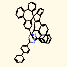 c1ccc(-c2ccc(-c3nc(-c4ccccc4)nc(-c4ccc5c(c4)C4(c6ccccc6-c6ccccc6-5)c5ccccc5-c5c4cc4ccc6cccc7ccc5c4c67)n3)cc2)cc1